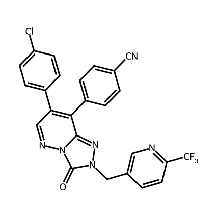 N#Cc1ccc(-c2c(-c3ccc(Cl)cc3)cnn3c(=O)n(Cc4ccc(C(F)(F)F)nc4)nc23)cc1